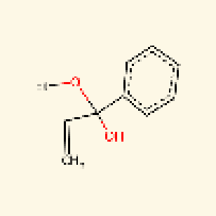 C=CC(O)(OCC)c1ccccc1